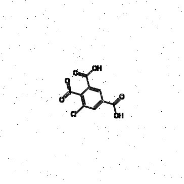 O=C(O)c1cc(Cl)c(I(=O)=O)c(C(=O)O)c1